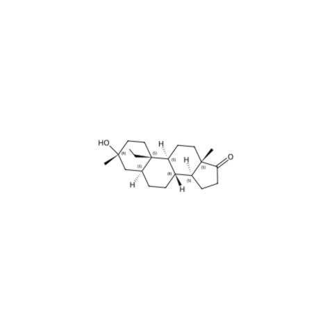 CC[C@]12CC[C@@](C)(O)C[C@@H]1CC[C@@H]1[C@@H]2CC[C@]2(C)C(=O)CC[C@@H]12